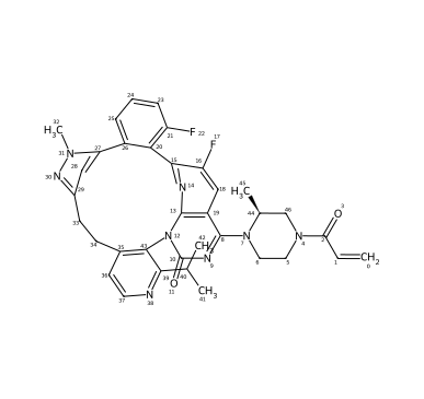 C=CC(=O)N1CCN(c2nc(=O)n3c4nc(c(F)cc24)-c2c(F)cccc2-c2cc(nn2C)CCc2ccnc(C(C)C)c2-3)[C@@H](C)C1